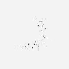 Nc1nc(C(=O)C(=O)N[C@@H]2C(=O)N3C(C(=O)O)=C(CS(=O)(=O)c4ccc(O)c(O)c4)CS[C@H]23)cs1